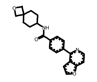 O=C(NC1CCC2(CC1)COC2)c1ccc(-c2nccc3occc23)cc1